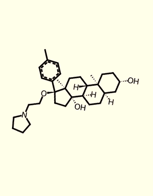 Cc1ccc([C@@]2(OCCN3CCCC3)CC[C@]3(O)[C@@H]4CC[C@@H]5C[C@@H](O)CC[C@]5(C)[C@H]4CC[C@]23C)cc1